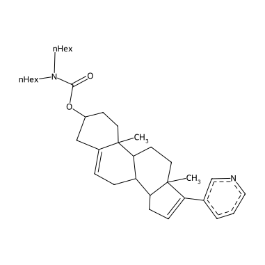 CCCCCCN(CCCCCC)C(=O)OC1CCC2(C)C(=CCC3C2CCC2(C)C(c4cccnc4)=CCC32)C1